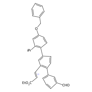 CCOC(=O)/C=C/c1cc(-c2ccc(OCc3ccccc3)cc2C(C)C)ccc1-c1cccc(C=O)c1